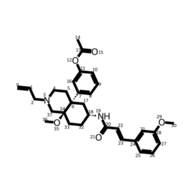 C=CCN1CC[C@@]2(c3cccc(OC(C)=O)c3)C[C@H](NC(=O)C=Cc3cccc(OC)c3)CC[C@]2(OC)C1